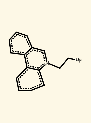 [18F]CC[n+]1cc2ccccc2c2ccccc21